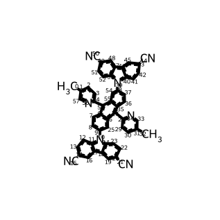 Cc1ccc(-c2c3ccc(-n4c5ccc(C#N)cc5c5cc(C#N)ccc54)cc3c(-c3ccc(C)cn3)c3ccc(-n4c5ccc(C#N)cc5c5cc(C#N)ccc54)cc23)nc1